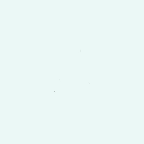 O=C(Cc1ccc(Cl)cc1)N1CCNCC1COc1cccnc1